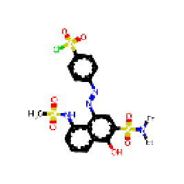 CCN(CC)S(=O)(=O)c1cc(N=Nc2ccc(S(=O)(=O)Cl)cc2)c2c(NS(C)(=O)=O)cccc2c1O